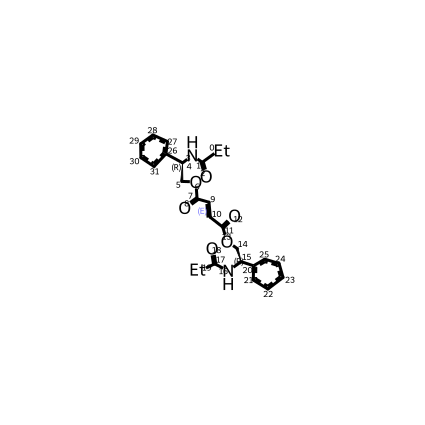 CCC(=O)N[C@@H](COC(=O)/C=C/C(=O)OC[C@H](NC(=O)CC)c1ccccc1)c1ccccc1